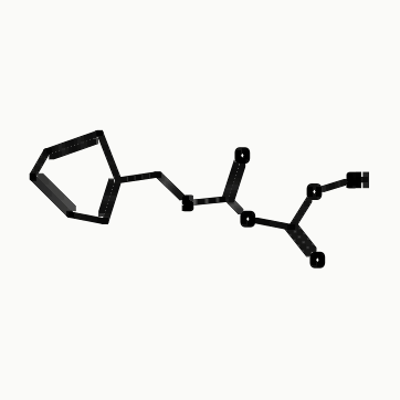 O=C(OS)OC(=O)SCc1ccccc1